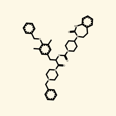 Cc1cc(CC(OC(=O)N2CCC(N3CCc4ccccc4NC3=O)CC2)C(=O)N2CCN(Cc3ccccc3)CC2)cc(C)c1OCc1ccccc1